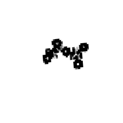 c1ccc(-c2nc(-c3ccccc3)nc(-c3ccc(-n4c5ccccc5c5c6sc7ccccc7c6sc54)cc3)n2)cc1